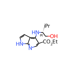 CCOC(=O)c1cnc2[nH]ccc2c1N[C@@H](CO)C(C)C